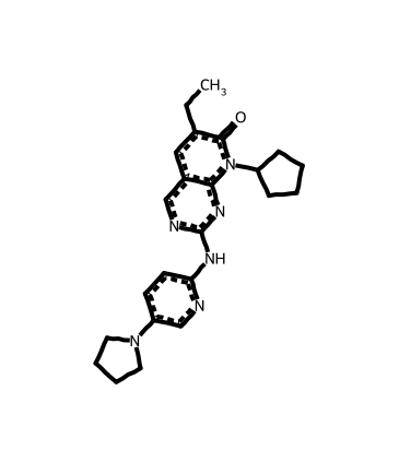 CCc1cc2cnc(Nc3ccc(N4CCCC4)cn3)nc2n(C2CCCC2)c1=O